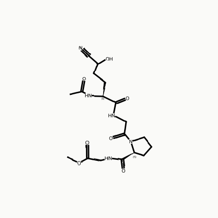 COC(=O)CNC(=O)[C@@H]1CCCN1C(=O)CNC(=O)[C@H](CCC(O)C#N)NC(C)=O